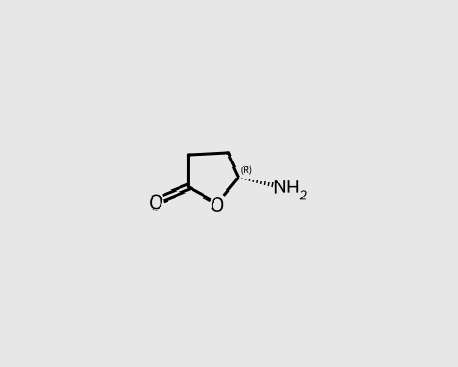 N[C@H]1CCC(=O)O1